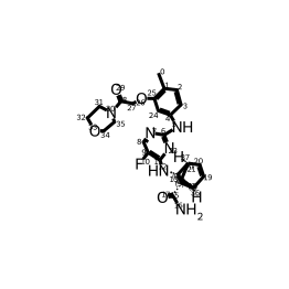 Cc1ccc(Nc2ncc(F)c(N[C@H]3[C@@H](C(N)=O)[C@@H]4C=C[C@H]3C4)n2)cc1OCC(=O)N1CCOCC1